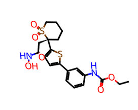 CCOC(=O)Nc1cccc(-c2ccc([C@@]3(CC(=O)NO)CCCCS3(=O)=O)s2)c1